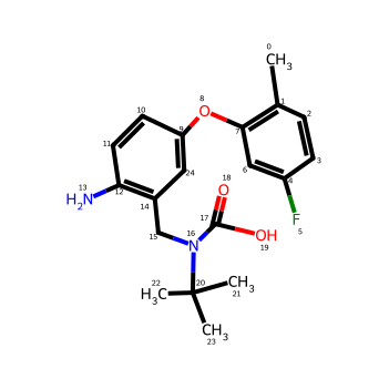 Cc1ccc(F)cc1Oc1ccc(N)c(CN(C(=O)O)C(C)(C)C)c1